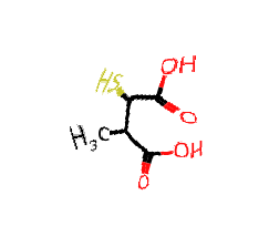 CC(C(=O)O)C(S)C(=O)O